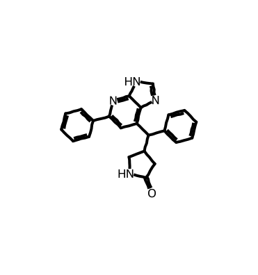 O=C1CC(C(c2ccccc2)c2cc(-c3ccccc3)nc3[nH]cnc23)CN1